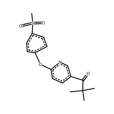 CC(C)(C)C(=O)c1ccc(Oc2ccc(S(C)(=O)=O)cc2)nc1